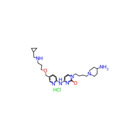 Cl.NC1CCN(CCCCn2ccc(Nc3ccc(COCCCNCC4CC4)cn3)nc2=O)CC1